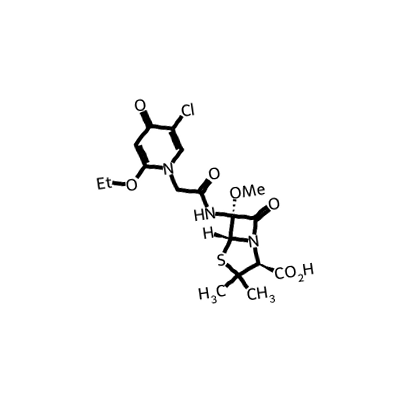 CCOc1cc(=O)c(Cl)cn1CC(=O)N[C@@]1(OC)C(=O)N2[C@@H](C(=O)O)C(C)(C)S[C@@H]21